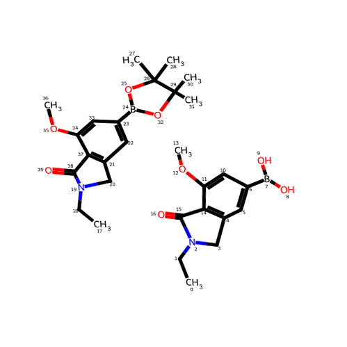 CCN1Cc2cc(B(O)O)cc(OC)c2C1=O.CCN1Cc2cc(B3OC(C)(C)C(C)(C)O3)cc(OC)c2C1=O